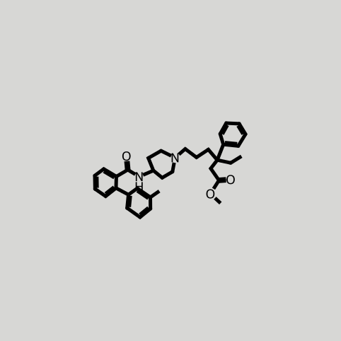 CCC(CCCN1CCC(NC(=O)c2ccccc2-c2cccc(C)c2)CC1)(CC(=O)OC)c1ccccc1